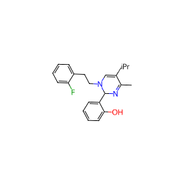 CC1=NC(c2ccccc2O)N(CCc2ccccc2F)C=C1C(C)C